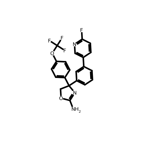 NC1=NC(c2ccc(OC(F)(F)F)cc2)(c2cccc(-c3ccc(F)nc3)c2)CO1